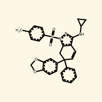 Cc1ccc(S(=O)(=O)n2nc(NC3CC3)c3c2CC(c2ccccc2)(c2ccc4c(c2)OCO4)C=C3)cc1